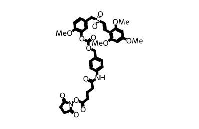 COc1cc(OC)c(/C=C/S(=O)(=O)Cc2ccc(OC)c(OC(=O)OCc3ccc(NC(=O)CCCC(=O)ON4C(=O)CCC4=O)cc3)c2)c(OC)c1